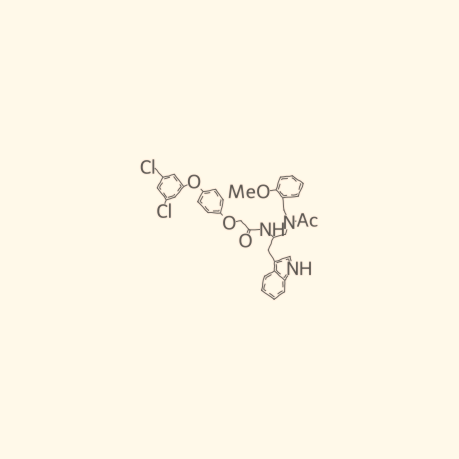 COc1ccccc1CN(CC(Cc1c[nH]c2ccccc12)NC(=O)COc1ccc(Oc2cc(Cl)cc(Cl)c2)cc1)C(C)=O